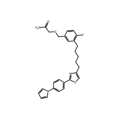 NC(=O)COCc1ccc(F)c(CCCCCc2csc(-c3ccc(-n4cccc4)cc3)n2)c1